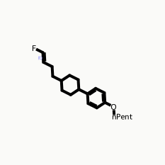 CCCCCOc1ccc(C2CCC(CC/C=C/F)CC2)cc1